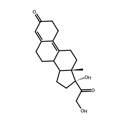 C[C@]12CCC3=C4CCC(=O)C=C4CCC3C1CC[C@]2(O)C(=O)CO